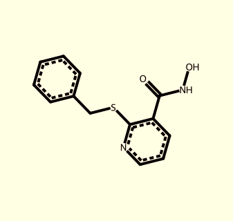 O=C(NO)c1cccnc1SCc1ccccc1